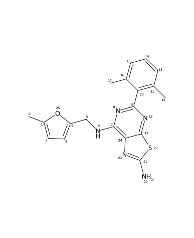 Cc1ccc(CNc2nc(-c3c(C)cccc3C)nc3sc(N)nc23)o1